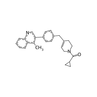 Cc1c(-c2ccc(CC3=CCN(C(=O)C4CC4)CC3)cc2)cnc2ccccc12